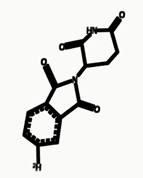 [2H]c1ccc2c(c1)C(=O)N(C1CCC(=O)NC1=O)C2=O